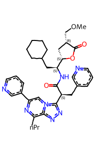 CCCc1nc(-c2cccnc2)cn2c([C@H](Cc3cccnc3)C(=O)N[C@@H](CC3CCCCC3)[C@@H]3C[C@H](COC)C(=O)O3)nnc12